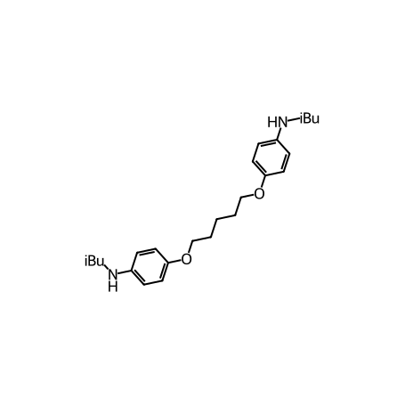 CCC(C)Nc1ccc(OCCCCCOc2ccc(NC(C)CC)cc2)cc1